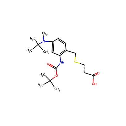 CN(c1ccc(CSCCC(=O)O)c(NC(=O)OC(C)(C)C)c1)C(C)(C)C